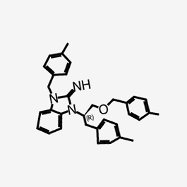 Cc1ccc(COC[C@@H](Cc2ccc(C)cc2)n2c(=N)n(Cc3ccc(C)cc3)c3ccccc32)cc1